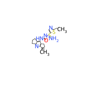 CCc1ncc(/S(N)=N/C(=O)Nc2c3c(nc4c2CC[C@H]4C)CCC3)s1